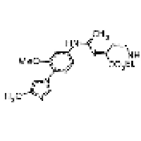 C=C(/N=C(\C=C/N)C(=O)OCC)Nc1ccc(-n2cnc(C)c2)c(OC)c1